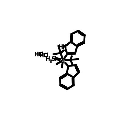 C[C](C)(C)[Zr]([CH3])([CH3])(=[SiH2])([c]1cc2ccccc2[nH]1)([CH]1C=Cc2ccccc21)[C](C)(C)C.Cl.Cl